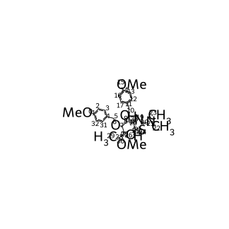 COc1ccc(COC2C(OCc3ccc(OC)cc3)[C@H]3N=C(N(C)C)S[C@H]3O[C@@H]2C(C)OC)cc1